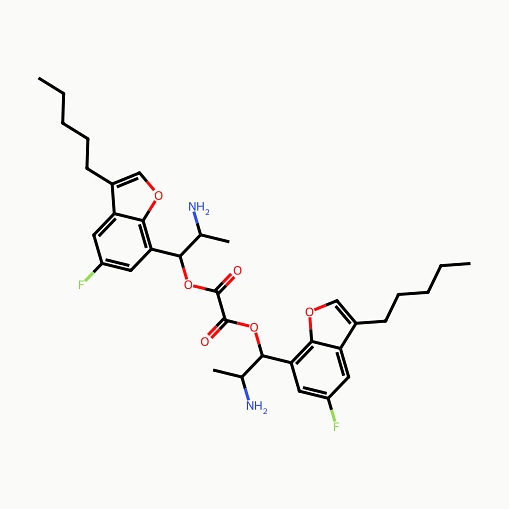 CCCCCc1coc2c(C(OC(=O)C(=O)OC(c3cc(F)cc4c(CCCCC)coc34)C(C)N)C(C)N)cc(F)cc12